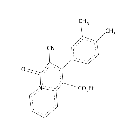 CCOC(=O)c1c(-c2ccc(C)c(C)c2)c(C#N)c(=O)n2ccccc12